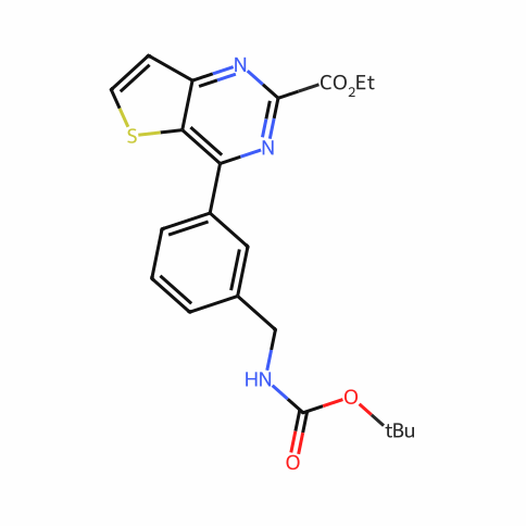 CCOC(=O)c1nc(-c2cccc(CNC(=O)OC(C)(C)C)c2)c2sccc2n1